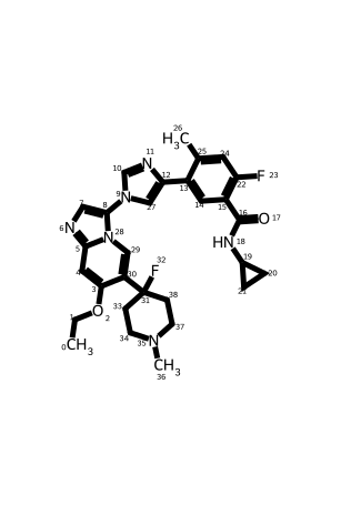 CCOc1cc2ncc(-n3cnc(-c4cc(C(=O)NC5CC5)c(F)cc4C)c3)n2cc1C1(F)CCN(C)CC1